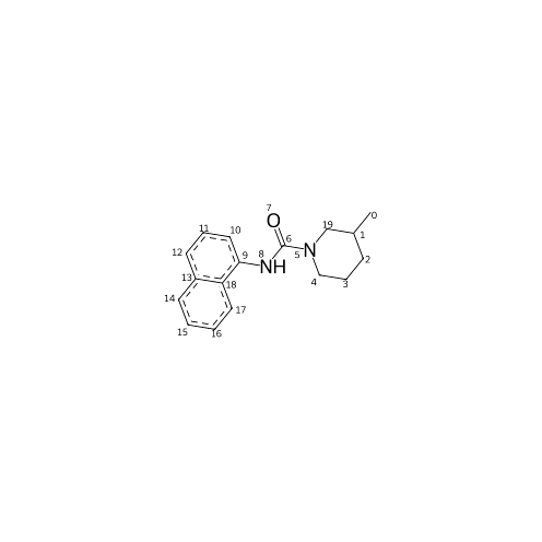 CC1CCCN(C(=O)Nc2cccc3ccccc23)C1